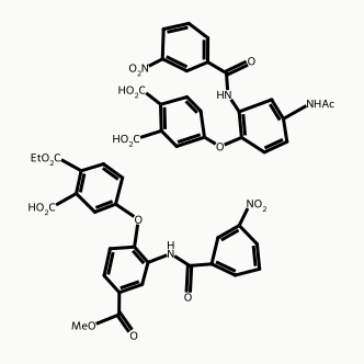 CC(=O)Nc1ccc(Oc2ccc(C(=O)O)c(C(=O)O)c2)c(NC(=O)c2cccc([N+](=O)[O-])c2)c1.CCOC(=O)c1ccc(Oc2ccc(C(=O)OC)cc2NC(=O)c2cccc([N+](=O)[O-])c2)cc1C(=O)O